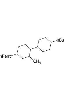 CCCCCC1CCC(C2CCC(CCCC)CC2)C(C)C1